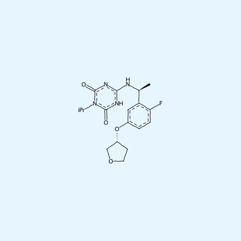 CC(C)n1c(=O)nc(N[C@@H](C)c2cc(O[C@@H]3CCOC3)ccc2F)[nH]c1=O